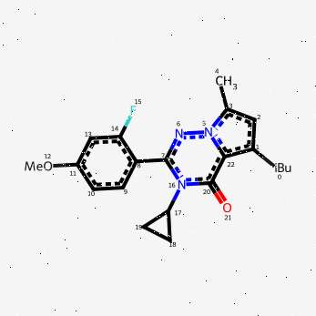 CCC(C)c1cc(C)n2nc(-c3ccc(OC)cc3F)n(C3CC3)c(=O)c12